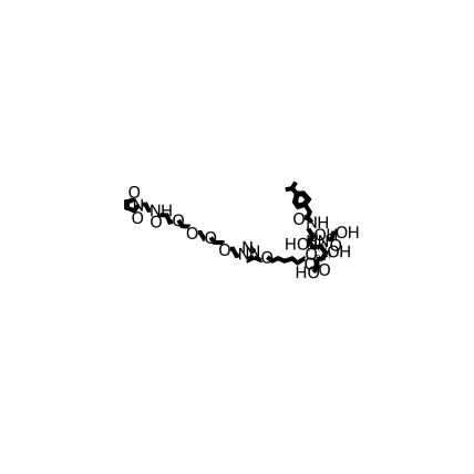 CC(C)c1ccc(CC(=O)NC[C@@H](O)[C@@H](O)[C@@H]2O[C@@](OCCCCCCOCc3cn(CCOCCOCCOCCOCCC(=O)NCCN4C(=O)C=CC4=O)nn3)(C(=O)O)C[C@H](O)[C@H]2NC(=O)CO)cc1